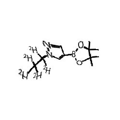 [2H]C([2H])([2H])C([2H])([2H])n1cc(B2OC(C)(C)C(C)(C)O2)cn1